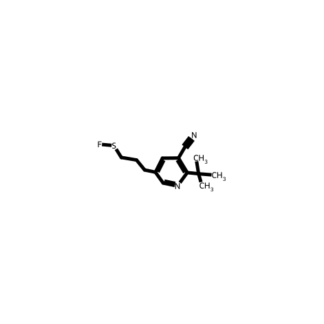 CC(C)(C)c1ncc(CCCSF)cc1C#N